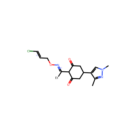 CC/C(=N\OC/C=C/Cl)C1C(=O)CC(c2cn(C)nc2C)CC1=O